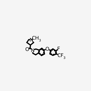 CN1CCC(C(=O)N2CCc3ccc(Oc4ccc(C(F)(F)F)c(F)c4)cc3C2)C1